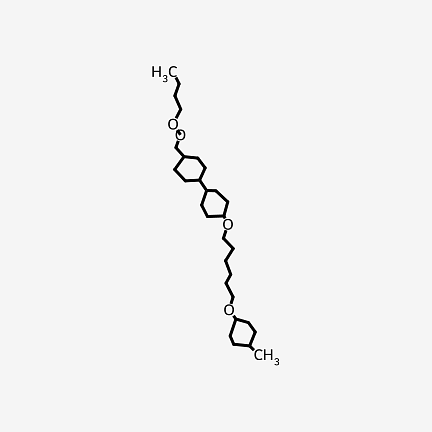 CCCCOOCC1CCC(C2CCC(OCCCCCCOC3CCC(C)CC3)CC2)CC1